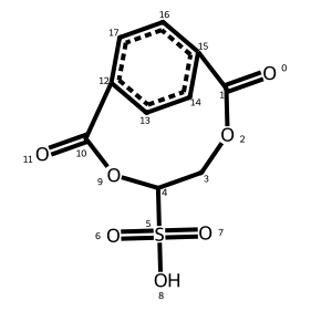 O=C1OCC(S(=O)(=O)O)OC(=O)c2ccc1cc2